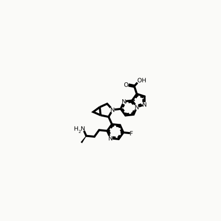 C[C@@H](N)CCc1ncc(F)cc1C1C2CC2CN1c1ccn2ncc(C(=O)O)c2n1